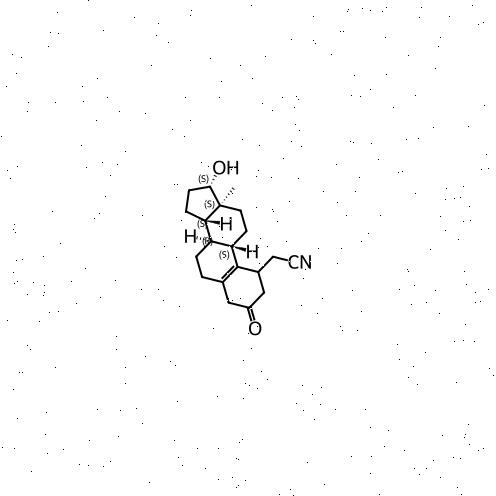 C[C@]12CC[C@@H]3C4=C(CC[C@H]3[C@@H]1CC[C@@H]2O)CC(=O)CC4CC#N